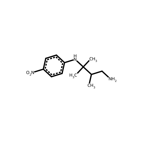 CC(CN)C(C)(C)Nc1ccc([N+](=O)[O-])cc1